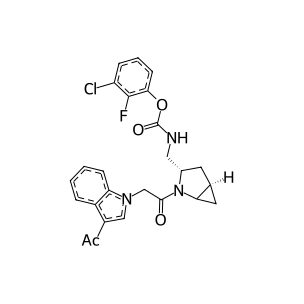 CC(=O)c1cn(CC(=O)N2C3C[C@@H]3C[C@H]2CNC(=O)Oc2cccc(Cl)c2F)c2ccccc12